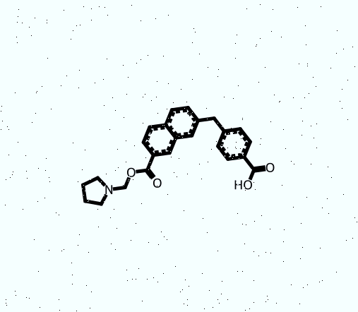 O=C(O)c1ccc(Cc2ccc3ccc(C(=O)OCN4CCCC4)cc3c2)cc1